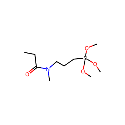 CCC(=O)N(C)CCC[Si](OC)(OC)OC